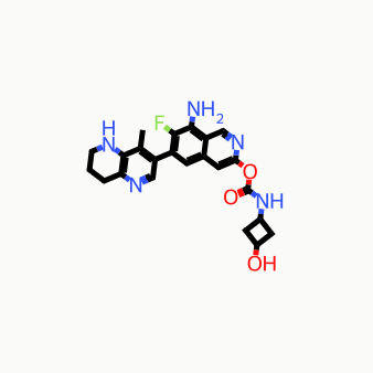 Cc1c(-c2cc3cc(OC(=O)NC4CC(O)C4)ncc3c(N)c2F)cnc2c1NCCC2